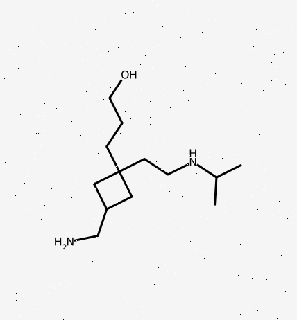 CC(C)NCCC1(CCCO)CC(CN)C1